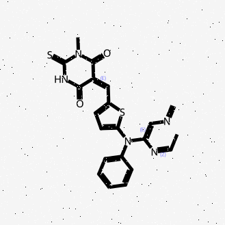 C=N/C=C(\N=C/C)N(c1ccccc1)c1ccc(/C=C2\C(=O)NC(=S)N(C)C2=O)s1